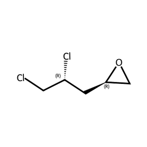 ClC[C@H](Cl)C[C@@H]1CO1